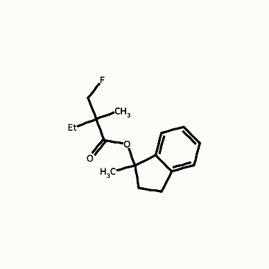 CCC(C)(CF)C(=O)OC1(C)CCc2ccccc21